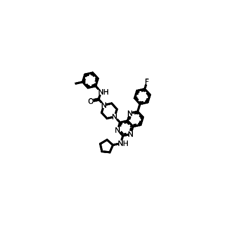 Cc1cccc(NC(=O)N2CCN(c3nc(NC4CCCC4)nc4ccc(-c5ccc(F)cc5)nc34)CC2)c1